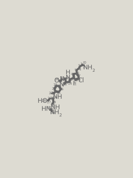 C[C@H](N)CCCc1cc(Cl)c(F)c(-c2cc3cn(-c4ccc([C@H](C)N[C@H](CCO)CCNC(=N)N)cc4)c(=O)nc3[nH]2)c1